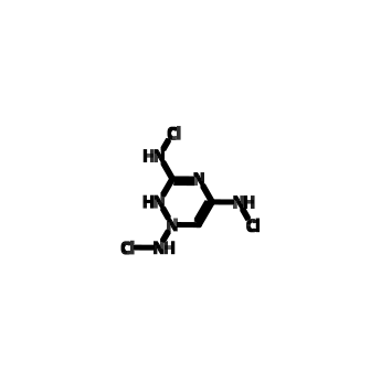 ClNC1=CN(NCl)NC(NCl)=N1